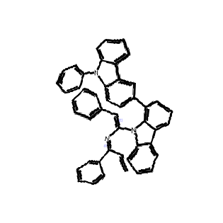 C=C/C(=N\C(=C/c1ccccc1)n1c2ccccc2c2cccc(-c3ccc4c(c3)c3ccccc3n4-c3ccccc3)c21)c1ccccc1